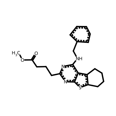 COC(=O)CCCc1nc(NCc2ccccc2)c2c3c(sc2n1)CCCC3